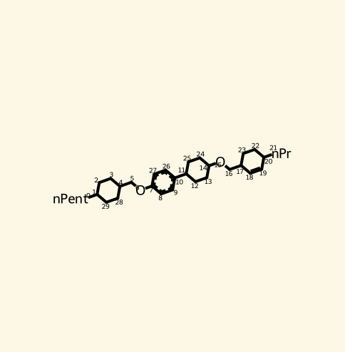 CCCCCC1CCC(COc2ccc(C3CCC(OCC4C=CC(CCC)CC4)CC3)cc2)CC1